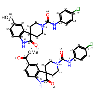 COC(=O)c1ccc2c(c1)C1(CCN(C(=O)Nc3ccc(Cl)cc3)CC1)C(=O)N2.O=C(O)c1ccc2c(c1)C1(CCN(C(=O)Nc3ccc(Cl)cc3)CC1)C(=O)N2